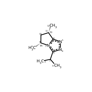 CC(C)c1nnc2n1[C@H](C)C[C@@H]2C